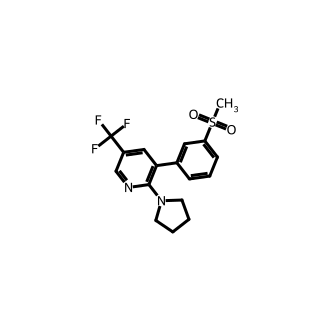 CS(=O)(=O)c1cccc(-c2cc(C(F)(F)F)cnc2N2CCCC2)c1